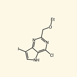 CCOCc1nc(Cl)c2[nH]cc(I)c2n1